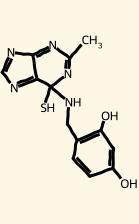 CC1=NC(S)(NCc2ccc(O)cc2O)C2=NC=NC2=N1